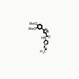 C/N=C/N1CC[C@@H](NC(=O)c2cc(-c3ccc(OC)c(OC)c3)no2)C1